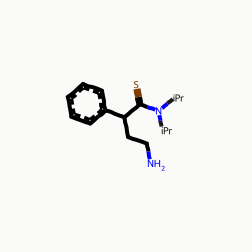 CC(C)N(C(=S)C(CCN)c1ccccc1)C(C)C